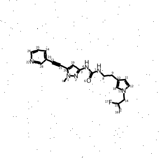 Cn1nc(NC(=O)NCCc2ccn(CC(F)F)c2)cc1C#Cc1cccnc1